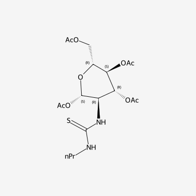 CCCNC(=S)N[C@H]1[C@H](OC(C)=O)O[C@H](COC(C)=O)[C@@H](OC(C)=O)[C@@H]1OC(C)=O